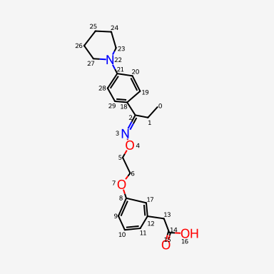 CC/C(=N\OCCOc1cccc(CC(=O)O)c1)c1ccc(N2CCCCC2)cc1